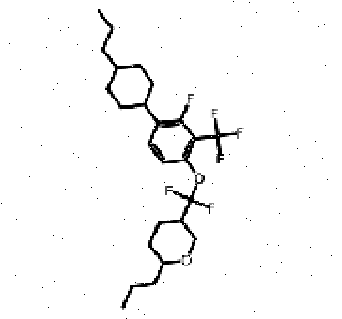 CCCC1CCC(c2ccc(OC(F)(F)C3CCC(CCC)OC3)c(C(F)(F)F)c2F)CC1